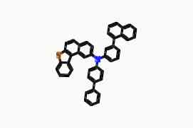 c1ccc(-c2ccc(N(c3cccc(-c4cccc5ccccc45)c3)c3ccc4ccc5sc6ccccc6c5c4c3)cc2)cc1